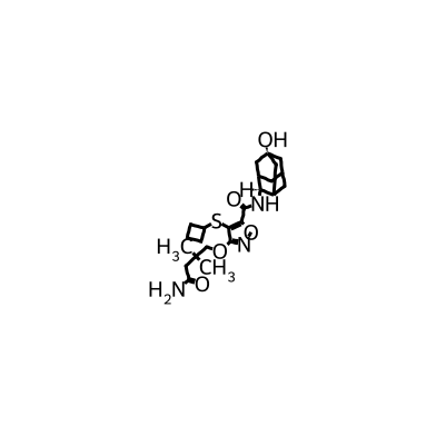 CC(C)(COc1noc(C(=O)N[C@H]2C3CC4CC2C[C@](O)(C4)C3)c1SC1CCC1)CC(N)=O